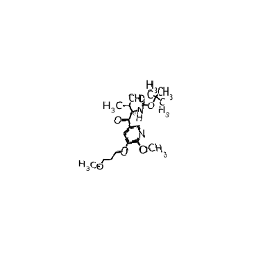 COCCCOc1cc(C(=O)[C@H](NC(=O)OC(C)(C)C)C(C)C)cnc1OC